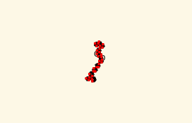 CC1(C)c2ccccc2-c2c(-c3ccc4oc5cc6c(cc5c4c3)oc3ccc(-c4ccc(-c5ccc(-c7ccc8c9ccccc9c9ccccc9c8c7)cc5)cc4)cc36)cccc21